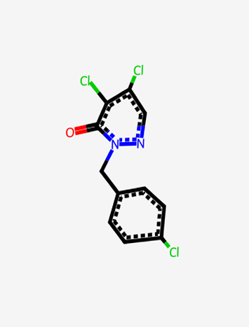 O=c1c(Cl)c(Cl)cnn1Cc1ccc(Cl)cc1